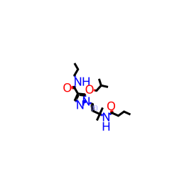 CCCNC(=O)c1cnn(/C=C/C(C)(C)NC(=O)CCC)c1OCC(C)C